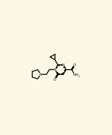 NC(=O)c1cc(=O)n(CCN2CCCC2)c(C2CC2)n1